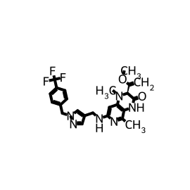 C=C(OC)[C@H]1C(=O)Nc2c(cc(NCc3cnn(Cc4ccc(C(F)(F)F)cc4)c3)nc2C)N1C